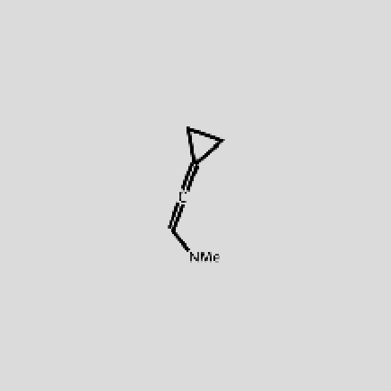 CNC=C=C1CC1